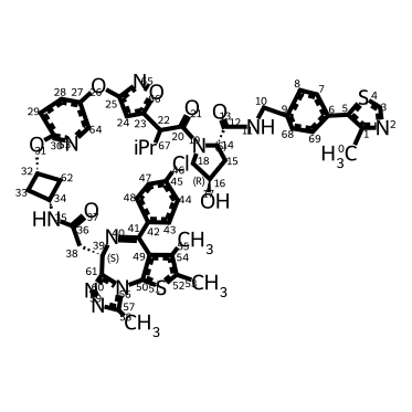 Cc1ncsc1-c1ccc(CNC(=O)[C@@H]2C[C@@H](O)CN2C(=O)C(c2cc(Oc3ccc(O[C@H]4C[C@@H](NC(=O)C[C@@H]5N=C(c6ccc(Cl)cc6)c6c(sc(C)c6C)-n6c(C)nnc65)C4)nc3)no2)C(C)C)cc1